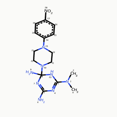 CN(C)C1=NC(N)=NC(N)(N2CCN(c3ccc([N+](=O)[O-])cc3)CC2)N1